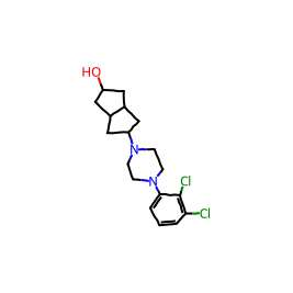 OC1CC2CC(N3CCN(c4cccc(Cl)c4Cl)CC3)CC2C1